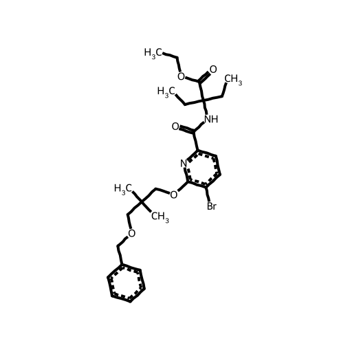 CCOC(=O)C(CC)(CC)NC(=O)c1ccc(Br)c(OCC(C)(C)COCc2ccccc2)n1